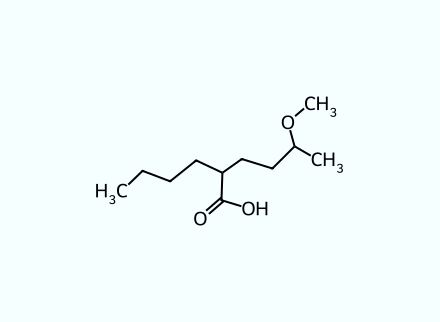 CCCCC(CCC(C)OC)C(=O)O